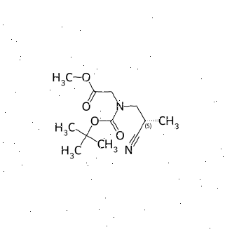 COC(=O)CN(C[C@H](C)C#N)C(=O)OC(C)(C)C